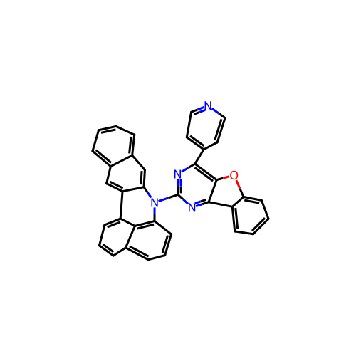 c1ccc2cc3c(cc2c1)-c1cccc2cccc(c12)N3c1nc(-c2ccncc2)c2oc3ccccc3c2n1